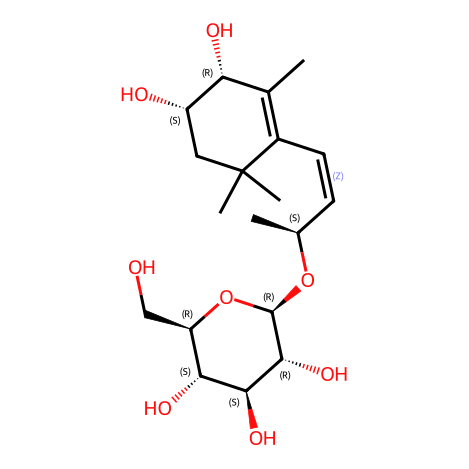 CC1=C(/C=C\[C@H](C)O[C@@H]2O[C@H](CO)[C@@H](O)[C@H](O)[C@H]2O)C(C)(C)C[C@H](O)[C@@H]1O